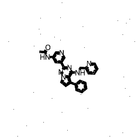 CC(=O)Nc1cncc(-c2nc(NCc3ccccn3)c3c(-c4ccccc4)ccn3n2)c1